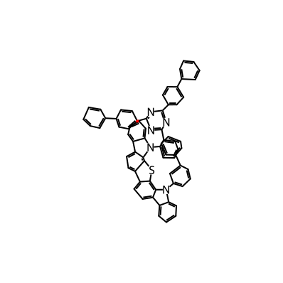 c1ccc(-c2ccc(-c3nc(-c4ccc(-c5ccccc5)cc4)nc(-c4ccccc4-n4c5ccccc5c5ccc6c7ccc8c9ccccc9n(-c9cccc(-c%10ccccc%10)c9)c8c7sc6c54)n3)cc2)cc1